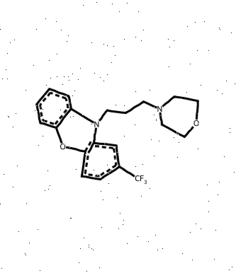 FC(F)(F)c1ccc2c(c1)N(CCCN1CCOCC1)c1ccccc1O2